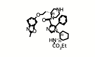 CCOC(=O)N[C@H]1CCCC[C@@H]1n1cnc(C(=O)N2CCNC[C@H]2CCOc2ccc3nc(C)oc3c2)c1-c1ccccc1